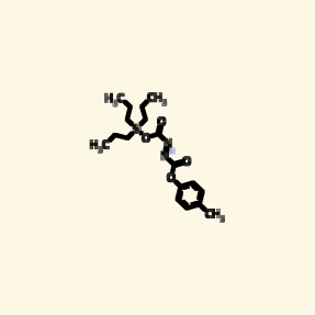 CCC[Si](CCC)(CCC)OC(=O)/N=N/C(=O)Oc1ccc(C)cc1